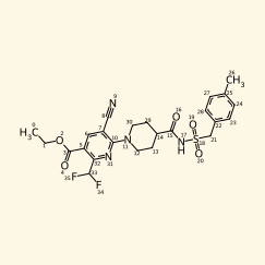 CCOC(=O)c1cc(C#N)c(N2CCC(C(=O)NS(=O)(=O)Cc3ccc(C)cc3)CC2)nc1C(F)F